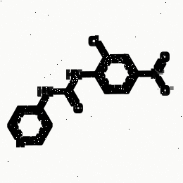 O=C(Nc1ccncc1)Nc1ccc([N+](=O)[O-])cc1Cl